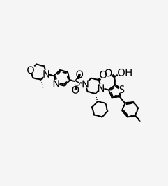 CC1C=CC(c2cc(N3C(=O)CN(S(=O)(=O)c4ccc(N5CCOC[C@H]5C)nc4)C[C@H]3C3CCCCC3)c(C(=O)O)s2)=CC1